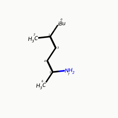 [CH2]CC(C)C(C)CCC(C)N